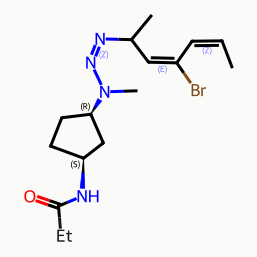 C/C=C\C(Br)=C/C(C)/N=N\N(C)[C@@H]1CC[C@H](NC(=O)CC)C1